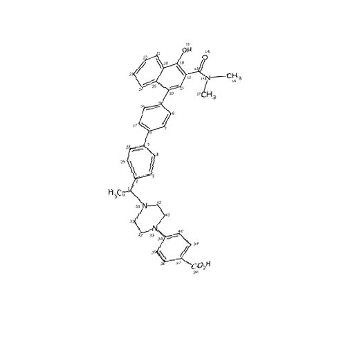 CC(c1ccc(-c2ccc(-c3cc(C(=O)N(C)C)c(O)c4ccccc34)cc2)cc1)N1CCN(c2ccc(C(=O)O)cc2)CC1